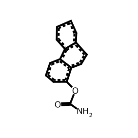 NC(=O)Oc1cccc2c1ccc1ccccc12